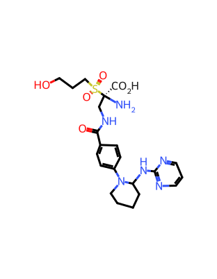 N[C@](CNC(=O)c1ccc(N2CCCCC2Nc2ncccn2)cc1)(C(=O)O)S(=O)(=O)CCCO